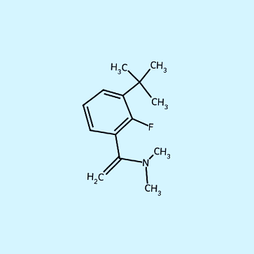 C=C(c1cccc(C(C)(C)C)c1F)N(C)C